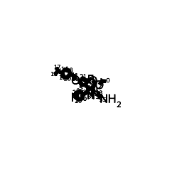 CCOC(=O)c1c(C2C=C(OCc3ccc(C(C)C)cc3)C=C2F)c(-c2ccncc2)nn1CCN